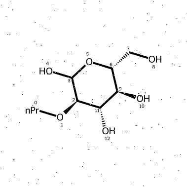 CCCO[C@H]1C(O)O[C@H](CO)[C@@H](O)[C@@H]1O